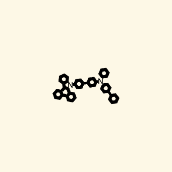 c1ccc(-c2ccc(N(c3ccccc3)c3ccc(-c4ccc(-n5c6ccccc6c6c7ccccc7c7ccccc7c65)cc4)cc3)cc2)cc1